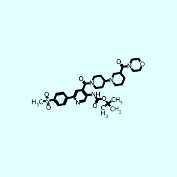 CC(C)(C)OC(=O)Nc1cnc(-c2ccc(S(C)(=O)=O)cc2)cc1C(=O)N1CCC(N2CCCC(C(=O)N3CCOCC3)C2)CC1